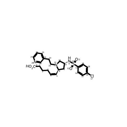 O=C(O)CCC/C=C\[C@@H]1C[C@@H](NS(=O)(=O)c2ccc(Cl)cc2)CN1CCc1cccnc1